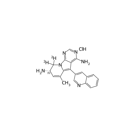 Cl.[2H]C1([2H])[C@@H](N)C=C(C)c2c(-c3cnc4ccccc4c3)c3c(N)ncnc3n21